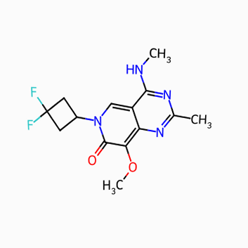 CNc1nc(C)nc2c(OC)c(=O)n(C3CC(F)(F)C3)cc12